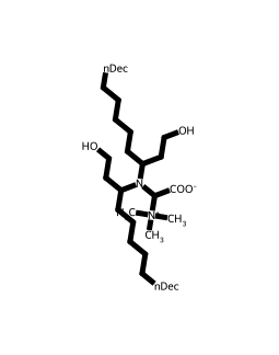 CCCCCCCCCCCCCCCC(CCO)N(C(CCO)CCCCCCCCCCCCCCC)C(C(=O)[O-])[N+](C)(C)C